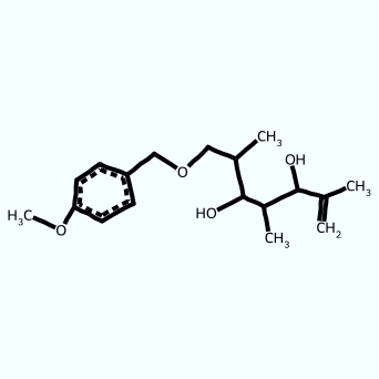 C=C(C)C(O)C(C)C(O)C(C)COCc1ccc(OC)cc1